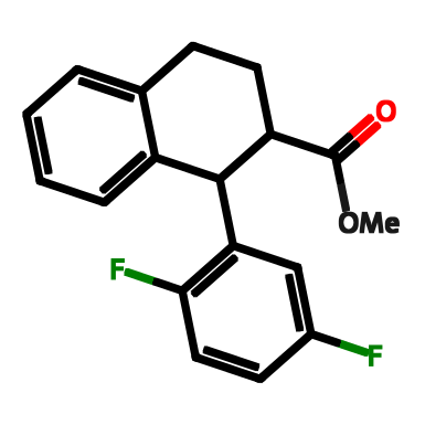 COC(=O)C1CCc2ccccc2C1c1cc(F)ccc1F